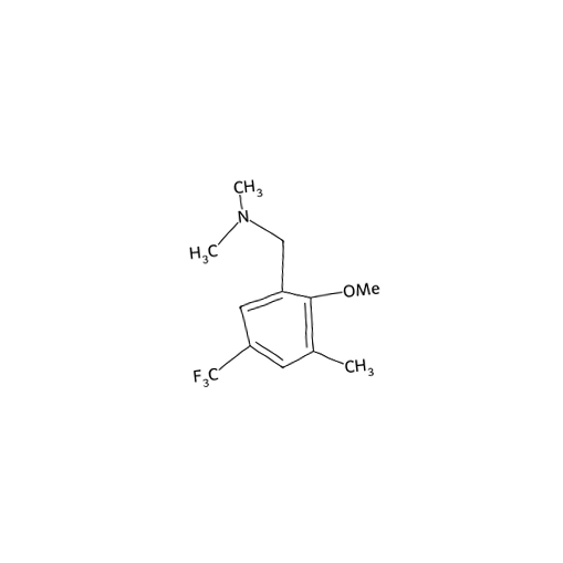 COc1c(C)cc(C(F)(F)F)cc1CN(C)C